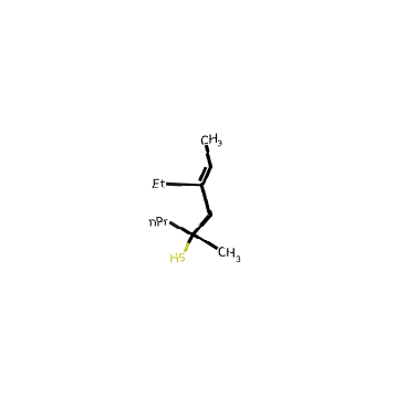 C/C=C(\CC)CC(C)(S)CCC